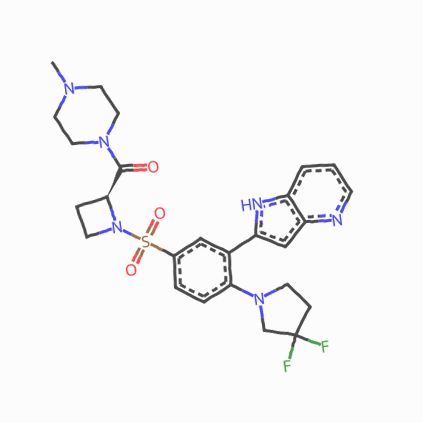 CN1CCN(C(=O)[C@@H]2CCN2S(=O)(=O)c2ccc(N3CCC(F)(F)C3)c(-c3cc4ncccc4[nH]3)c2)CC1